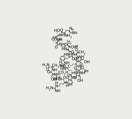 CC(C)C[C@H](NC(=O)[C@H](CCCNC(=N)N)NC(=O)[C@H](CO)NC(=O)[C@H](CC(C)C)NC(=O)[C@H](CCC(=O)O)NC(=O)[C@H](CO)NC(=O)[C@@H](NC(=O)[C@H](Cc1ccccc1)NC(=O)[C@@H](NC(=O)CNC(=O)[C@H](CC(=O)O)NC(=O)[C@H](CO)NC(=O)[C@@H](N)Cc1c[nH]cn1)[C@@H](C)O)[C@@H](C)O)C(=O)N[C@@H](CCCNC(=N)N)C(=O)N[C@@H](CC(=O)O)C(=O)N[C@@H](CO)C(=O)N[C@@H](C)C(N)=O